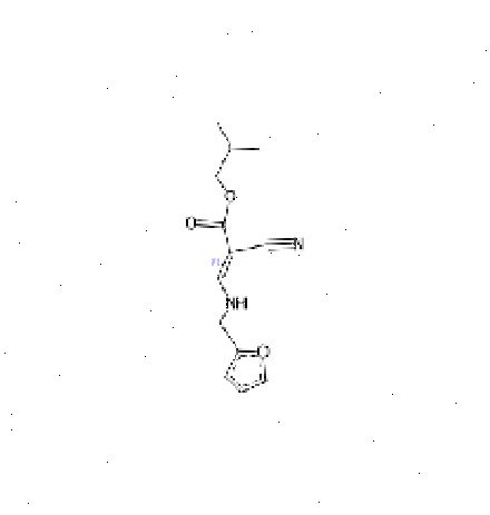 CC(C)COC(=O)/C(C#N)=C/NCc1ccco1